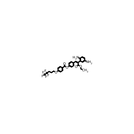 CCOC(=O)C(=Cc1ccc(OC(=O)c2ccc(OCCCC(F)(F)C(F)(F)F)cc2)cc1)c1cc(N)ccc1N